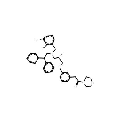 C[C@@H](COc1cccc(CC(=O)N2CCOCC2)c1)CN(Cc1cccc(C(F)(F)F)c1Cl)CC(c1ccccc1)c1ccccc1